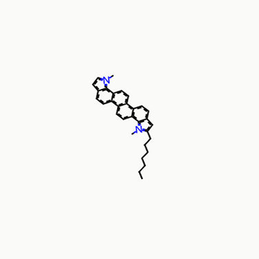 CCCCCCCc1cc2ccc3c4ccc5c(ccc6ccn(C)c65)c4ccc3c2n1C